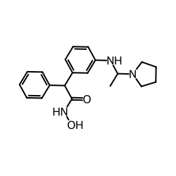 CC(Nc1cccc(C(C(=O)NO)c2ccccc2)c1)N1CCCC1